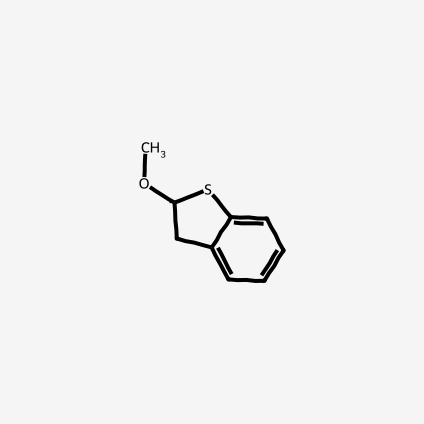 CO[C]1Cc2ccccc2S1